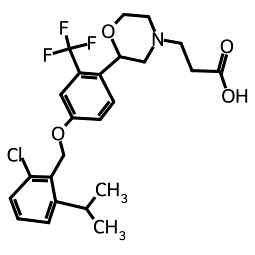 CC(C)c1cccc(Cl)c1COc1ccc(C2CN(CCC(=O)O)CCO2)c(C(F)(F)F)c1